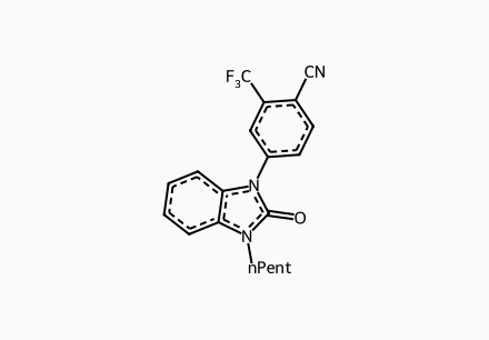 CCCCCn1c(=O)n(-c2ccc(C#N)c(C(F)(F)F)c2)c2ccccc21